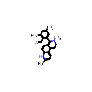 C=Cc1c(C)cc(C)cc1C1=C2C=CC3NC(C)=CC=C3C2=CCN1C